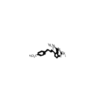 Nc1nc(N)c2c(n1)CCC2CCCc1ccc(C(=O)O)cc1